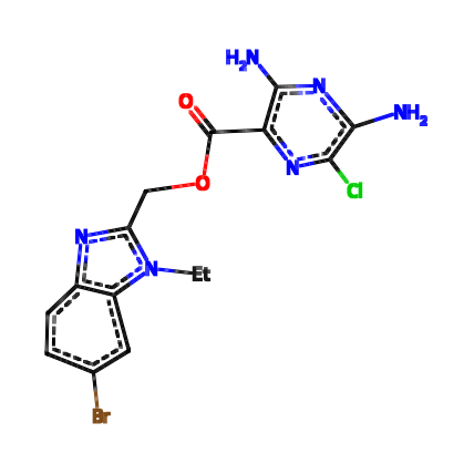 CCn1c(COC(=O)c2nc(Cl)c(N)nc2N)nc2ccc(Br)cc21